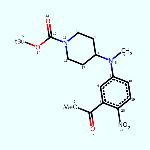 COC(=O)c1cc(N(C)C2CCN(C(=O)OC(C)(C)C)CC2)ccc1[N+](=O)[O-]